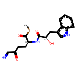 CC(C)SC(=O)[C@H](CCC(=O)C=N)NC(=O)[C@@H](O)Cc1c[nH]c2ccccc12